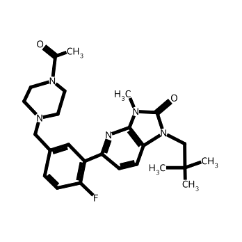 CC(=O)N1CCN(Cc2ccc(F)c(-c3ccc4c(n3)n(C)c(=O)n4CC(C)(C)C)c2)CC1